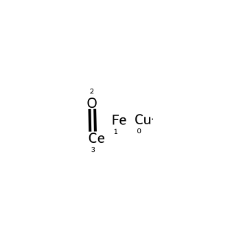 [Cu].[Fe].[O]=[Ce]